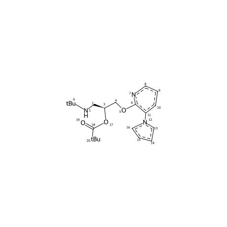 CC(C)(C)NC[C@@H](COc1ncccc1-n1cccc1)OC(=O)C(C)(C)C